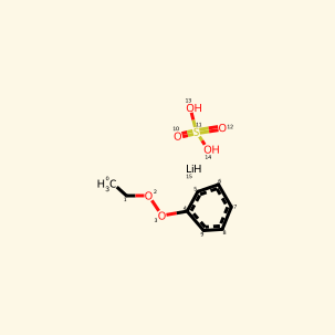 CCOOc1ccccc1.O=S(=O)(O)O.[LiH]